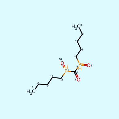 CCCCC[PH](=O)C(=O)[PH](=O)CCCCC